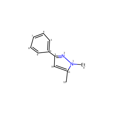 CCn1nc(-c2ccccc2)cc1C